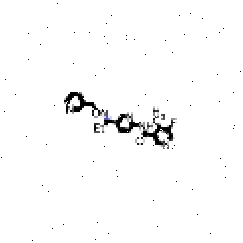 CC/C(=N\OCc1cccnc1)c1ccc(NC(=O)c2cncc(F)c2C)nc1